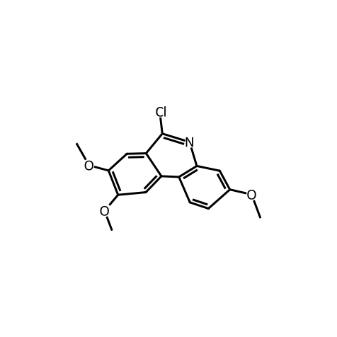 COc1ccc2c(c1)nc(Cl)c1cc(OC)c(OC)cc12